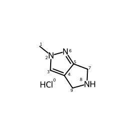 Cl.Cn1cc2c(n1)CNC2